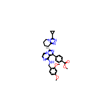 COC(=O)c1ccc(-c2nc([C@@H]3CCCn4c(C5CC5)nnc43)n3ccnc(NCc4ccc(OC)cc4OC)c23)cc1